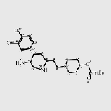 CC(C)(C)C(=O)OC1CCN(CCC2C[C@@H](c3ccc(Cl)c(Cl)c3)[C@H](N)CN2)CC1